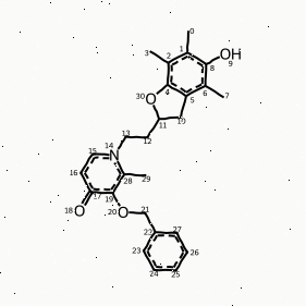 Cc1c(C)c2c(c(C)c1O)CC(CCn1ccc(=O)c(OCc3ccccc3)c1C)O2